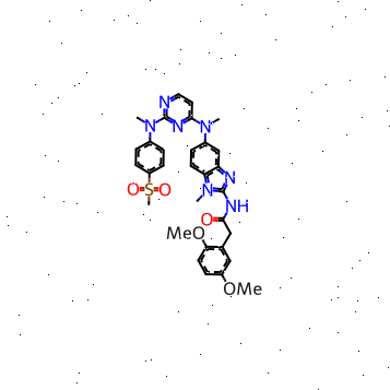 COc1ccc(OC)c(CC(=O)Nc2nc3cc(N(C)c4ccnc(N(C)c5ccc(S(C)(=O)=O)cc5)n4)ccc3n2C)c1